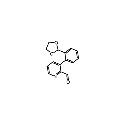 O=Cc1ncccc1-c1ccccc1C1OCCO1